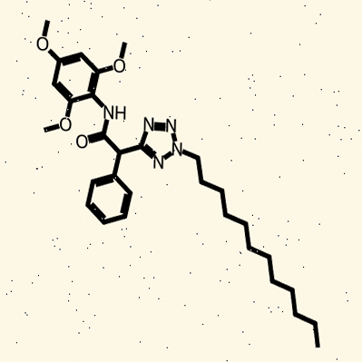 CCCCCCCCCCCCn1nnc(C(C(=O)Nc2c(OC)cc(OC)cc2OC)c2ccccc2)n1